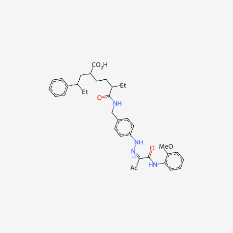 CCC(CCC(CC(CC)c1ccccc1)C(=O)O)C(=O)NCc1ccc(N/N=C(/C(C)=O)C(=O)Nc2ccccc2OC)cc1